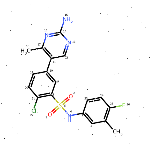 Cc1cc(NS(=O)(=O)c2cc(-c3cnc(N)nc3C)ccc2Cl)ccc1F